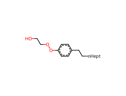 CCCCCCCCCc1ccc(OOCCO)cc1